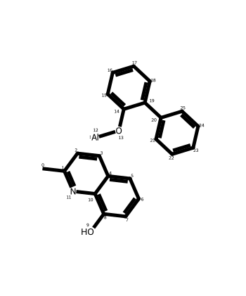 Cc1ccc2cccc(O)c2n1.[Al][O]c1ccccc1-c1ccccc1